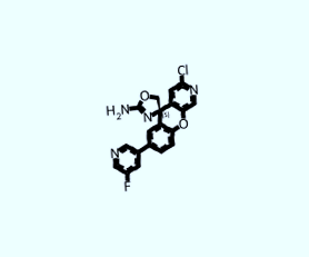 NC1=N[C@@]2(CO1)c1cc(-c3cncc(F)c3)ccc1Oc1cnc(Cl)cc12